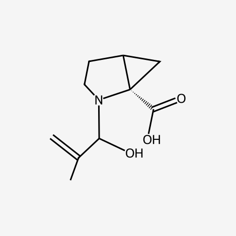 C=C(C)C(O)N1CCC2C[C@]21C(=O)O